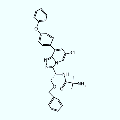 CC(C)(N)C(=O)N[C@H](COCc1ccccc1)c1nnc2c(-c3ccc(Oc4ccccc4)cc3)cc(Cl)cn12